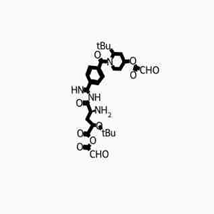 CC(C)(C)OC(C[C@H](N)C(=O)NC(=N)c1ccc(C(=O)N2CCC(OC(=O)C=O)CC2C(C)(C)C)cc1)C(=O)OC(=O)C=O